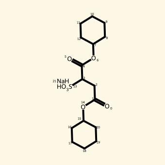 O=C(CC(C(=O)OC1CCCCC1)S(=O)(=O)O)OC1CCCCC1.[NaH]